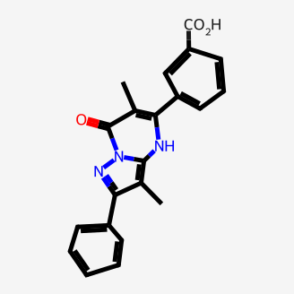 Cc1c(-c2cccc(C(=O)O)c2)[nH]c2c(C)c(-c3ccccc3)nn2c1=O